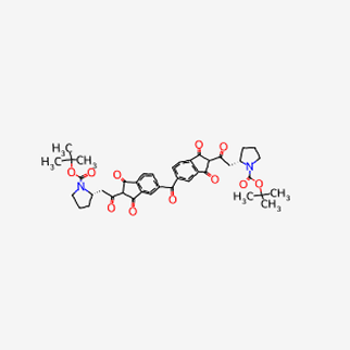 CC(C)(C)OC(=O)N1CCC[C@H]1CC(=O)C1C(=O)c2ccc(C(=O)c3ccc4c(c3)C(=O)C(C(=O)C[C@@H]3CCCN3C(=O)OC(C)(C)C)C4=O)cc2C1=O